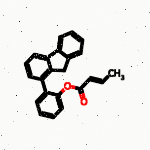 CC=CC(=O)Oc1ccccc1-c1cccc2c1Cc1ccccc1-2